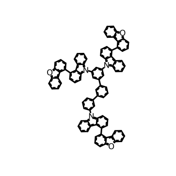 c1cc(-c2cccc(-n3c4ccccc4c4c(-c5cccc6oc7ccccc7c56)cccc43)c2)cc(-c2cc(-n3c4ccccc4c4c(-c5cccc6oc7ccccc7c56)cccc43)cc(-n3c4ccccc4c4c(-c5cccc6oc7ccccc7c56)cccc43)c2)c1